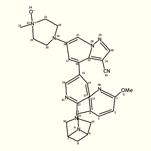 COc1ccc(CN2C3CC2CN(c2ccc(-c4cc(N5CC[N+](C)([O-])CC5)cn5ncc(C#N)c45)cn2)C3)cn1